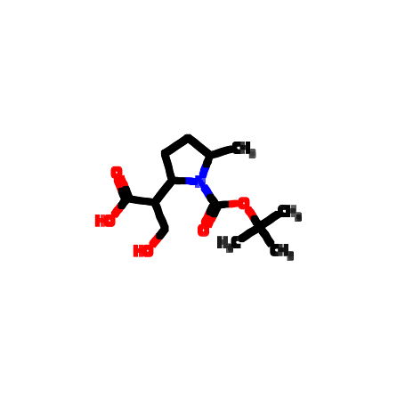 CC1CCC(C(CO)C(=O)O)N1C(=O)OC(C)(C)C